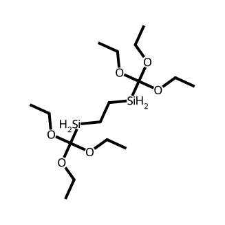 CCOC(OCC)(OCC)[SiH2]CC[SiH2]C(OCC)(OCC)OCC